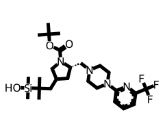 CC(C)(C)OC(=O)N1CC(CC(C)(C)[Si](C)(C)O)C[C@H]1CN1CCN(c2cccc(C(F)(F)F)n2)CC1